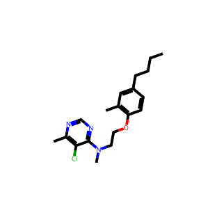 CCCCc1ccc(OCCN(C)c2ncnc(C)c2Cl)c(C)c1